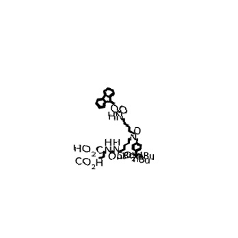 CCC[CH2][Sn]([CH2]CCC)([CH2]CCC)[c]1ccc(CN(CCCCC(NC(=O)NC(CCC(=O)O)C(=O)O)C(=O)O)C(=O)CCCCNC(=O)OCC2c3ccccc3-c3ccccc32)cc1